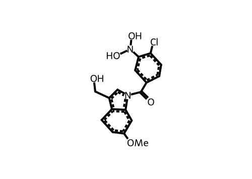 COc1ccc2c(CO)cn(C(=O)c3ccc(Cl)c(N(O)O)c3)c2c1